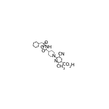 Cc1nc(N2CCC(C(=O)NS(=O)(=O)Cc3ccccc3)CC2)c(C#N)cc1C(=O)O